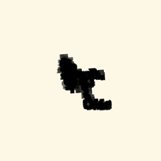 CCCCC(COC(=O)N(Cc1cccs1)Cc1cccs1)NC(=O)NCCCOC